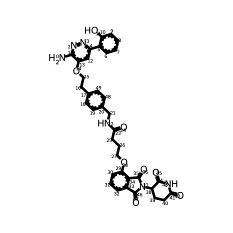 Nc1nnc(-c2ccccc2O)cc1OCCc1ccc(CNC(=O)CCCOc2cccc3c2C(=O)N(C2CCC(=O)NC2=O)C3=O)cc1